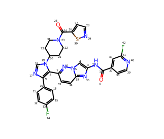 O=C(Nc1cn2nc(-c3c(-c4ccc(F)cc4)ncn3C3CCN(C(=O)c4ccns4)CC3)ccc2n1)c1ccnc(F)c1